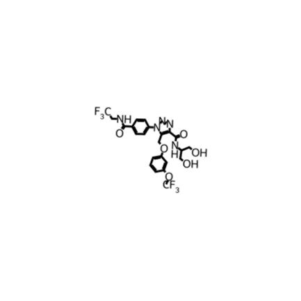 O=C(NCC(F)(F)F)c1ccc(-n2nnc(C(=O)NC(CO)CO)c2COc2cccc(OC(F)(F)F)c2)cc1